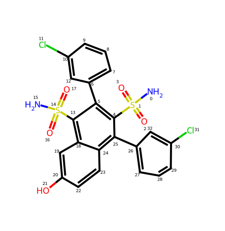 NS(=O)(=O)c1c(-c2cccc(Cl)c2)c(S(N)(=O)=O)c2cc(O)ccc2c1-c1cccc(Cl)c1